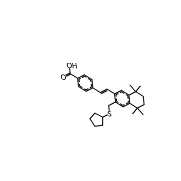 CC1(C)CCC(C)(C)c2cc(CSC3CCCC3)c(/C=C/c3ccc(C(=O)O)cc3)cc21